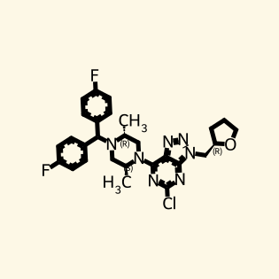 C[C@@H]1CN(c2nc(Cl)nc3c2nnn3C[C@H]2CCCO2)[C@@H](C)CN1C(c1ccc(F)cc1)c1ccc(F)cc1